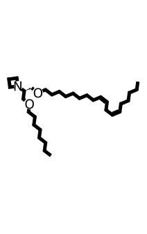 CCCCC/C=C\C/C=C\CCCCCCCCOC[C@H](COCCCCCCCC)N1CCC1